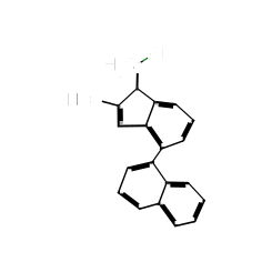 CC1=Cc2c(-c3cccc4ccccc34)cccc2C1[SiH2]Cl